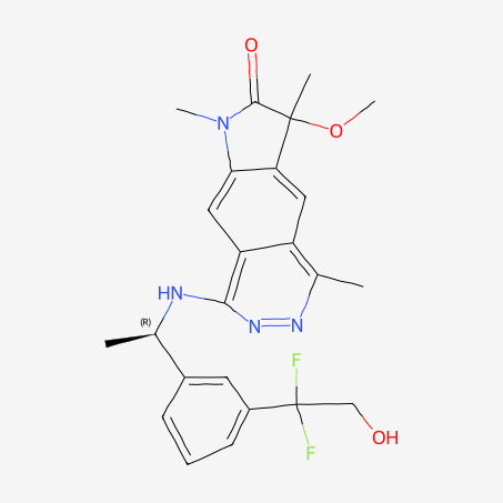 COC1(C)C(=O)N(C)c2cc3c(N[C@H](C)c4cccc(C(F)(F)CO)c4)nnc(C)c3cc21